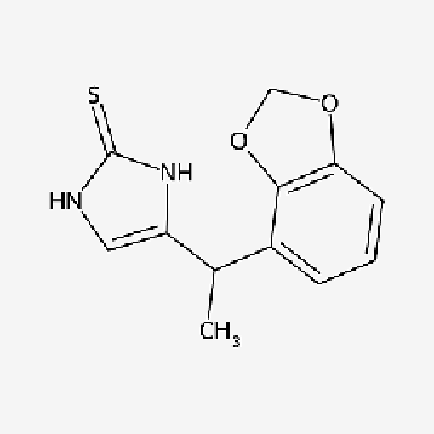 CC(c1c[nH]c(=S)[nH]1)c1cccc2c1OCO2